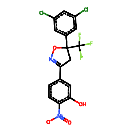 O=[N+]([O-])c1ccc(C2=NOC(c3cc(Cl)cc(Cl)c3)(C(F)(F)F)C2)cc1O